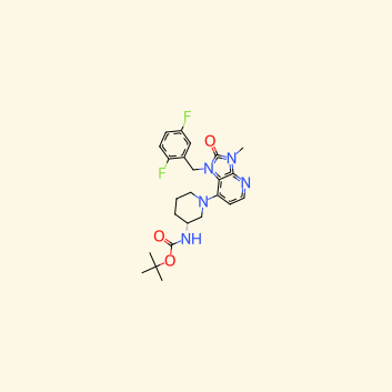 Cn1c(=O)n(Cc2cc(F)ccc2F)c2c(N3CCC[C@@H](NC(=O)OC(C)(C)C)C3)ccnc21